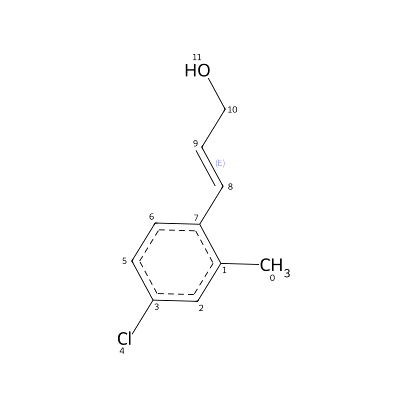 Cc1cc(Cl)ccc1/C=C/CO